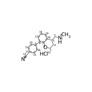 CNCC1CCOc2c(-c3ccc(C#N)cc3)cccc21.Cl